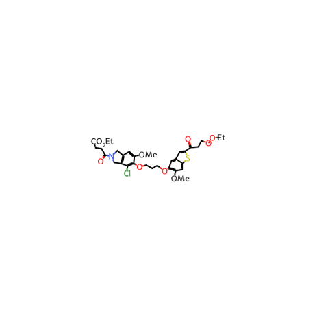 CCOOCCC(=O)c1cc2cc(OCCCOc3c(OC)cc4c(c3Cl)CN(C(=O)CCC(=O)OCC)C4)c(OC)cc2s1